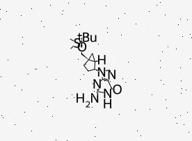 CC(C)(C)[Si](C)(C)OC[C@]12CC[C@H](n3cnc4c(=O)[nH]c(N)nc43)[C@H]1C2